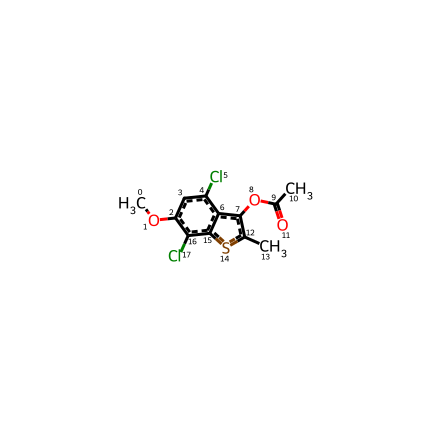 COc1cc(Cl)c2c(OC(C)=O)c(C)sc2c1Cl